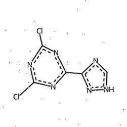 Clc1nc(Cl)nc(-c2nc[nH]n2)n1